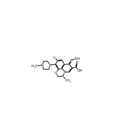 C[C@H]1COc2c(N3CCN(C)CC3)c(F)cc3c(=NO)c(C(=O)O)cn1c23